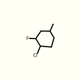 CC1CCC(Cl)C(F)C1